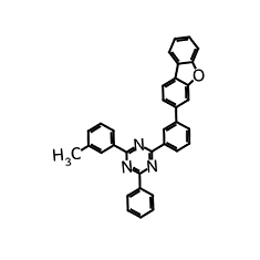 Cc1cccc(-c2nc(-c3ccccc3)nc(-c3cccc(-c4ccc5c(c4)oc4ccccc45)c3)n2)c1